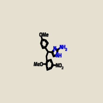 COc1ccc(C(Cc2cc([N+](=O)[O-])ccc2OC)c2c[nH]c(N)n2)cc1